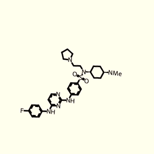 CN[C@H]1CC[C@@H](N(CCN2CCCC2)S(=O)(=O)c2ccc(Nc3nccc(Nc4ccc(F)cc4)n3)cc2)CC1